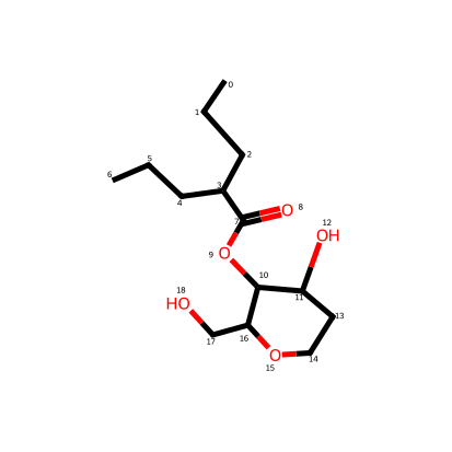 CCCC(CCC)C(=O)OC1C(O)CCOC1CO